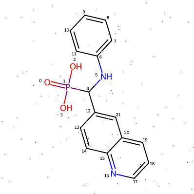 O=P(O)(O)C(Nc1ccccc1)c1ccc2ncccc2c1